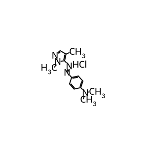 Cc1cnn(C)c1N=Nc1ccc(N(C)C)cc1.Cl